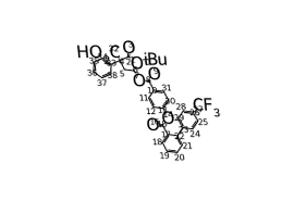 CCC(C)OC(=O)C(CCOC(=O)c1ccc(OC(=O)c2ccccc2-c2ccc(C(F)(F)F)cc2)cc1)(C(=O)O)c1ccccc1